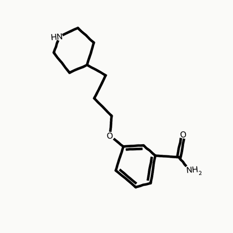 NC(=O)c1cccc(OCCCC2CCNCC2)c1